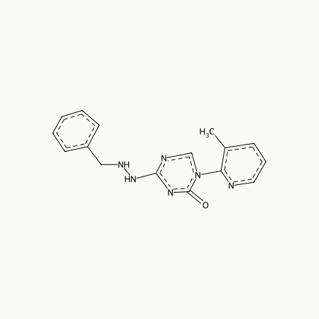 Cc1cccnc1-n1cnc(NNCc2ccccc2)nc1=O